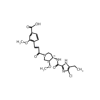 CCc1[nH]c(C(=O)N[C@@H]2CCN(C(=O)/C=C/c3ccc(C(=O)O)cc3OC)C[C@@H]2OC)nc1Cl